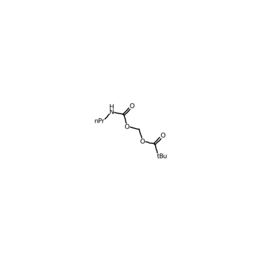 [CH2]CCNC(=O)OCOC(=O)C(C)(C)C